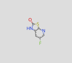 O=c1[nH]c2cc(F)cnc2s1